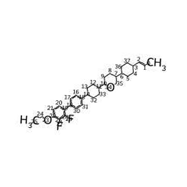 C/C=C/C1CCC(C2CCC(C3CCC(c4ccc(-c5ccc(OCC)c(F)c5F)cc4)CC3)OC2)CC1